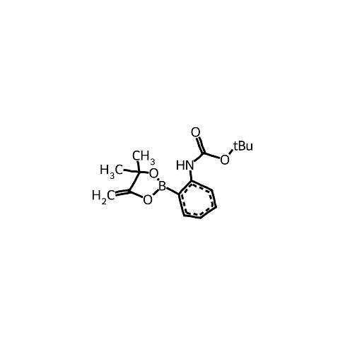 C=C1OB(c2ccccc2NC(=O)OC(C)(C)C)OC1(C)C